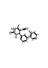 CC1=C(C#N)C(c2cccc(-c3cnccc3C)c2)NC(=O)N1